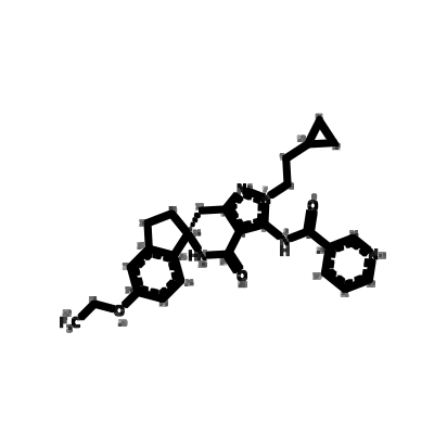 O=C(Nc1c2c(nn1CCC1CC1)C[C@]1(CCc3cc(OCC(F)(F)F)ccc31)NC2=O)c1cccnc1